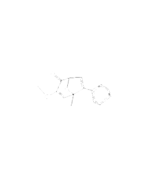 COC1=CC2(C)OC(C=C2c2ccccc2)C1=O